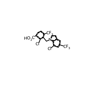 O=C(O)c1ccc(C(F)(F)F)c(Cn2ccc3cc(C(F)(F)F)cc(Cl)c32)c1Cl